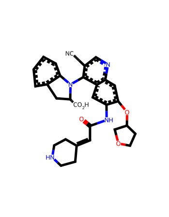 N#Cc1cnc2cc(OC3CCOC3)c(NC(=O)C=C3CCNCC3)cc2c1N1c2ccccc2CC1C(=O)O